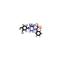 COC(=O)C(c1ccccc1)N1CCN(c2ccc(C)c(C)c2)CC1